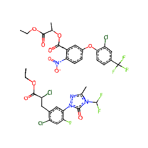 CCOC(=O)C(C)OC(=O)c1cc(Oc2ccc(C(F)(F)F)cc2Cl)ccc1[N+](=O)[O-].CCOC(=O)C(Cl)Cc1cc(-n2nc(C)n(C(F)F)c2=O)c(F)cc1Cl